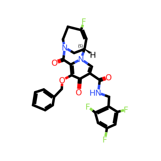 O=C(NCc1c(F)cc(F)cc1F)c1cn2c(c(OCc3ccccc3)c1=O)C(=O)N1CCC(F)=C[C@H]2C1